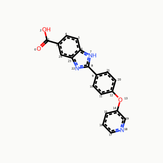 O=C(O)c1ccc2[nH]c(-c3ccc(Oc4cccnc4)cc3)nc2c1